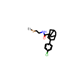 CCSCCNC(=O)C12CC3CC(C1)CC(c1ccc(Cl)cc1)(C3)C2